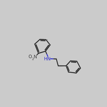 O=[N+]([O-])c1cc[c]cc1NCCc1ccccc1